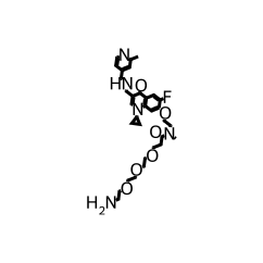 Cc1cc(CNCc2cn(C3CC3)c3cc(OCCN(C)C(=O)CCOCCOCCOCCN)c(F)cc3c2=O)ccn1